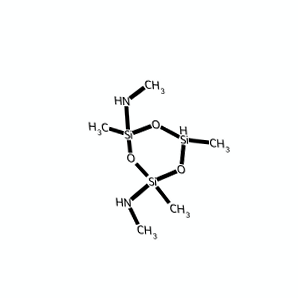 CN[Si]1(C)O[SiH](C)O[Si](C)(NC)O1